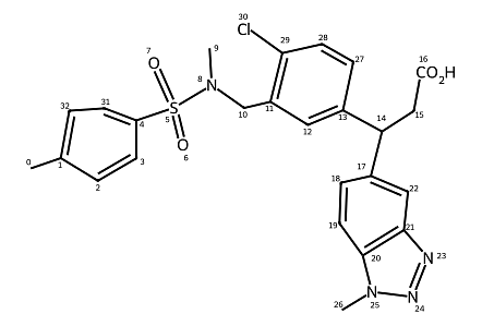 Cc1ccc(S(=O)(=O)N(C)Cc2cc(C(CC(=O)O)c3ccc4c(c3)nnn4C)ccc2Cl)cc1